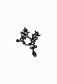 CCn1nc(C)cc1C(=O)Nc1nc2cc(C=O)cc3c2n1C/C=C/Cn1c(NC(=O)c2cc(C)nn2CC)nc2cc(C(=O)NCCN4CC5CCC(C4)O5)cc(c21)OCCCO3